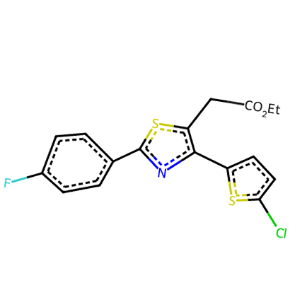 CCOC(=O)Cc1sc(-c2ccc(F)cc2)nc1-c1ccc(Cl)s1